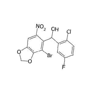 O=[N+]([O-])c1cc2c(c(Br)c1C(O)c1cc(F)ccc1Cl)OCO2